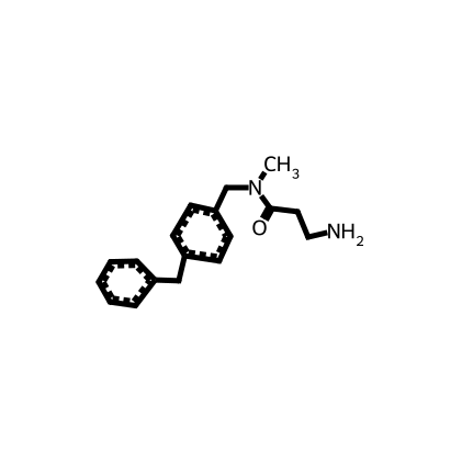 CN(Cc1ccc(Cc2ccccc2)cc1)C(=O)CCN